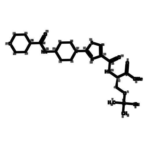 COC(=O)[C@H](CO[Si](C)(C)C(C)(C)C)NC(=O)c1csc(N2CCC(NC(=O)C3CCOCC3)CC2)n1